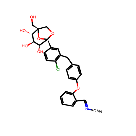 CO/N=C/c1ccccc1Oc1ccc(Cc2cc([C@]34OC[C@](CO)(O3)[C@@H](O)[C@H](O)[C@H]4O)ccc2Cl)cc1